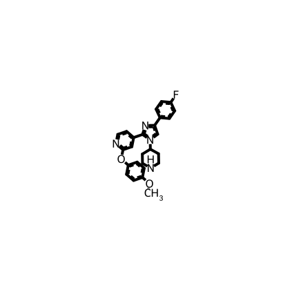 COc1ccc(Oc2cc(-c3nc(-c4ccc(F)cc4)cn3C3CCNCC3)ccn2)cc1